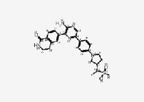 CN(C1CCN(c2ccc(-c3cnc(N)c(-c4ccc5c(c4)CCNC5=O)n3)cc2)C1)S(C)(=O)=O